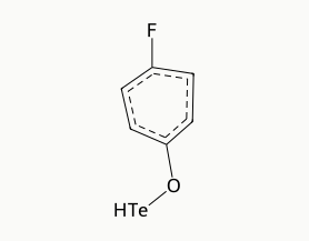 Fc1ccc(O[TeH])cc1